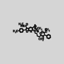 CNC(=O)c1c(-c2ccc(C)cc2)oc2nc(N(CCC[C@@H](C)C(=O)N[C@@H](C(=O)OC)c3ccccc3)S(C)(=O)=O)c(C3CC3)cc12